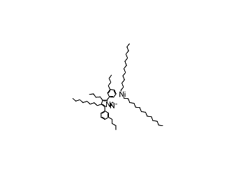 CCCCCCCCC1=C(c2cccc(CCCC)c2)[N+](=[N-])C(c2cccc(CCCC)c2)=C1CCCC.CCCCCCCCCCCCC[CH2][Ni][CH2]CCCCCCCCCCCCC